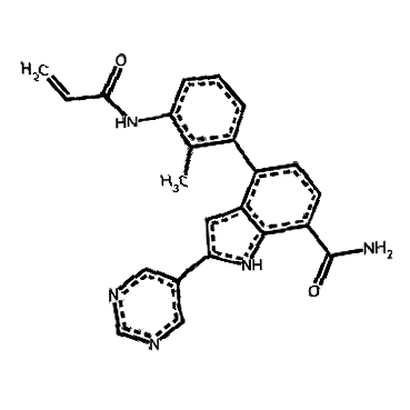 C=CC(=O)Nc1cccc(-c2ccc(C(N)=O)c3[nH]c(-c4cncnc4)cc23)c1C